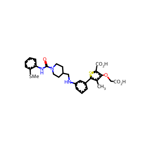 CSc1ccccc1NC(=O)N1CCC(CNc2cccc(-c3sc(C(=O)O)c(OCC(=O)O)c3C)c2)CC1